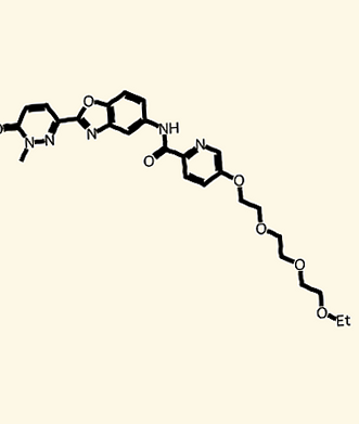 CCOCCOCCOCCOc1ccc(C(=O)Nc2ccc3oc(-c4ccc(=O)n(C)n4)nc3c2)nc1